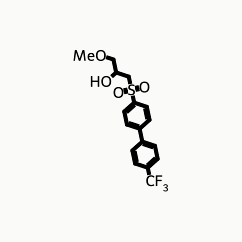 COCC(O)CS(=O)(=O)c1ccc(-c2ccc(C(F)(F)F)cc2)cc1